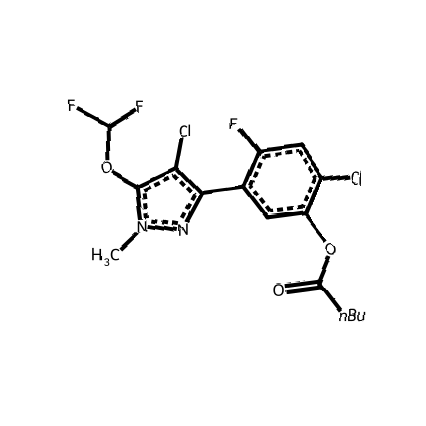 CCCCC(=O)Oc1cc(-c2nn(C)c(OC(F)F)c2Cl)c(F)cc1Cl